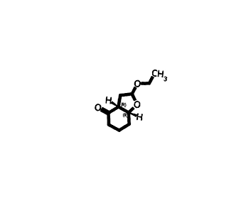 CCOC1C[C@H]2C(=O)CCC[C@H]2O1